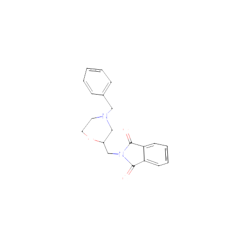 O=C1c2ccccc2C(=O)N1CC1CN(Cc2ccccc2)CCO1